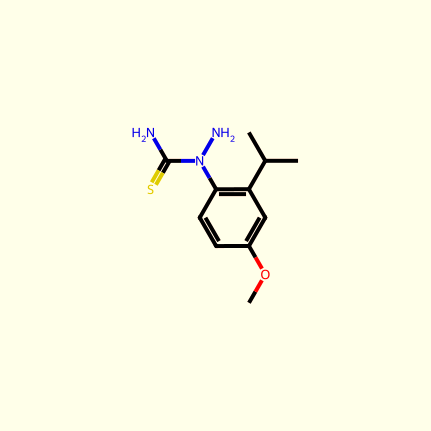 COc1ccc(N(N)C(N)=S)c(C(C)C)c1